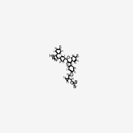 O=C(c1ccc(-c2nn[nH]c2-c2ccc(F)cc2)cc1)c1sc2cc(OCC3(CO[N+](=O)[O-])CC3)ccc2c1-c1ccc(F)cc1